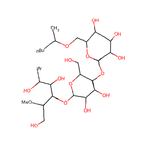 CCCCC(C)OCC1OC(OC2C(CO)OC(OC(C(CO)OC)C(O)C(O)C(C)C)C(O)C2O)C(O)C(O)C1O